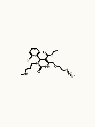 CCOC(=O)C1=C(COCCN=[N+]=[N-])NC(=O)N(CCCNC)C1c1ccccc1Cl